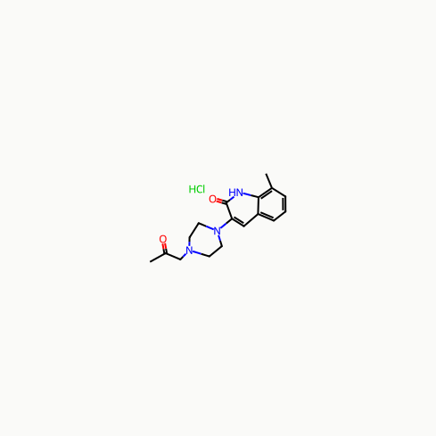 CC(=O)CN1CCN(c2cc3cccc(C)c3[nH]c2=O)CC1.Cl